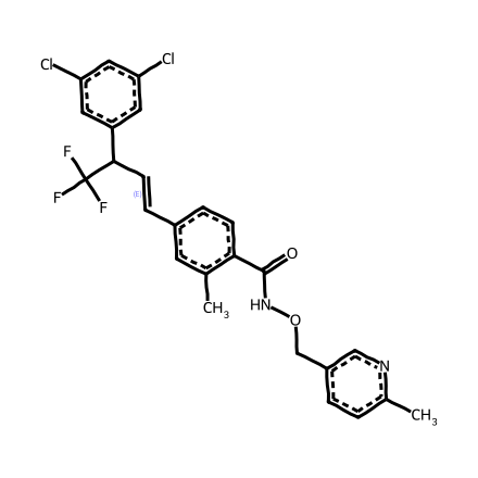 Cc1ccc(CONC(=O)c2ccc(/C=C/C(c3cc(Cl)cc(Cl)c3)C(F)(F)F)cc2C)cn1